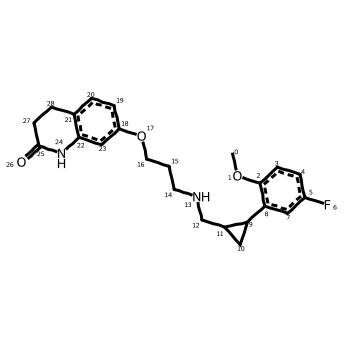 COc1ccc(F)cc1C1CC1CNCCCOc1ccc2c(c1)NC(=O)CC2